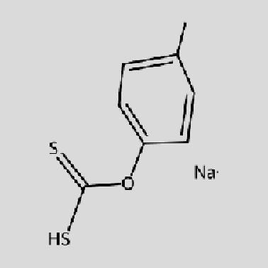 Cc1ccc(OC(=S)S)cc1.[Na]